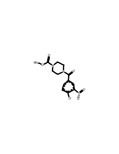 CC(C)(C)OC(=O)N1CCN(C(=O)c2ccc(Cl)c([SH](=O)=O)c2)CC1